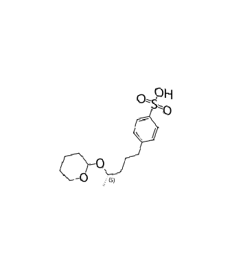 C[C@@H](CCCc1ccc(S(=O)(=O)O)cc1)OC1CCCCO1